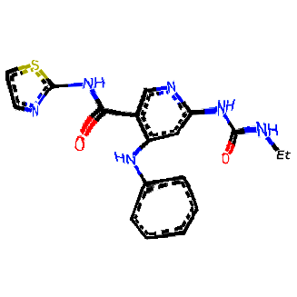 CCNC(=O)Nc1cc(Nc2ccccc2)c(C(=O)Nc2nccs2)cn1